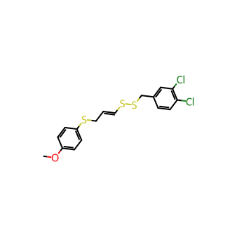 COc1ccc(SC/C=C/SSCc2ccc(Cl)c(Cl)c2)cc1